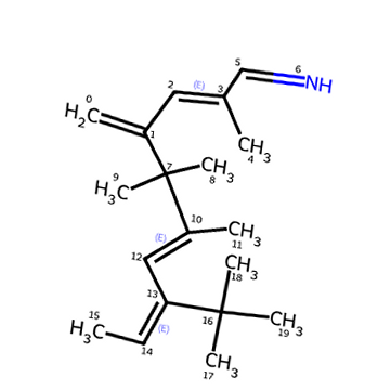 C=C(/C=C(\C)C=N)C(C)(C)/C(C)=C/C(=C\C)C(C)(C)C